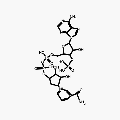 NC(=O)c1ccc[n+](C2CC(OP(=O)(O)OP(=O)(O)OCC3OC(n4cnc5c(N)ncnc54)C(O)C3OP(=O)(O)O)C(O)C2O)c1